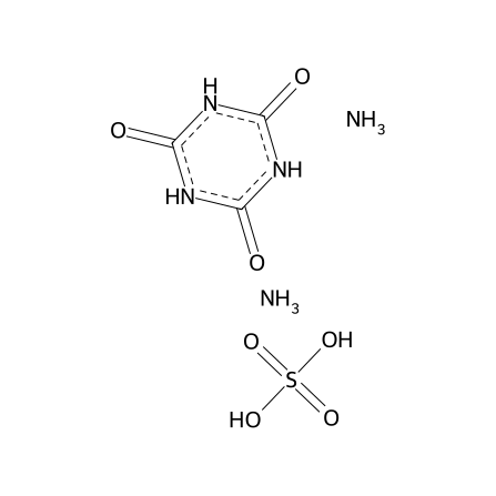 N.N.O=S(=O)(O)O.O=c1[nH]c(=O)[nH]c(=O)[nH]1